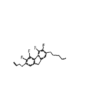 C=CCCc1cc2c(c(F)c1F)-c1c(cc(CCCCC)c(F)c1F)C2